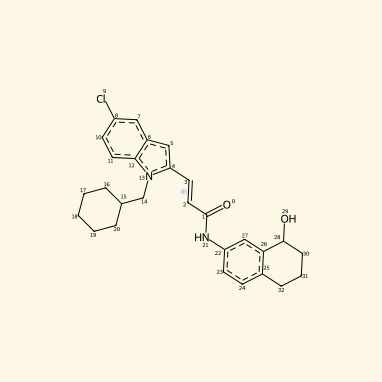 O=C(/C=C/c1cc2cc(Cl)ccc2n1CC1CCCCC1)Nc1ccc2c(c1)C(O)CCC2